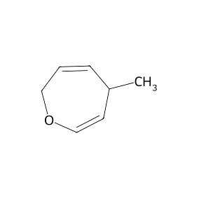 CC1C=CCOC=C1